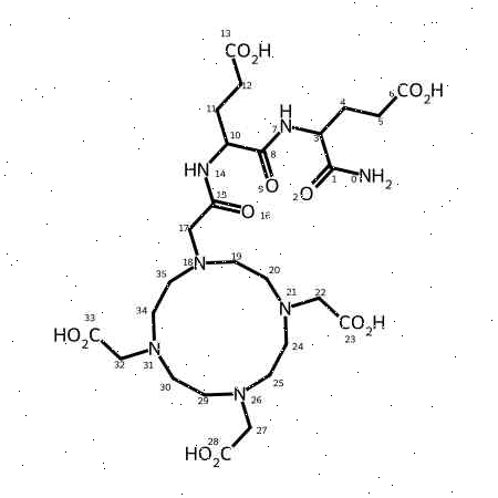 NC(=O)C(CCC(=O)O)NC(=O)C(CCC(=O)O)NC(=O)CN1CCN(CC(=O)O)CCN(CC(=O)O)CCN(CC(=O)O)CC1